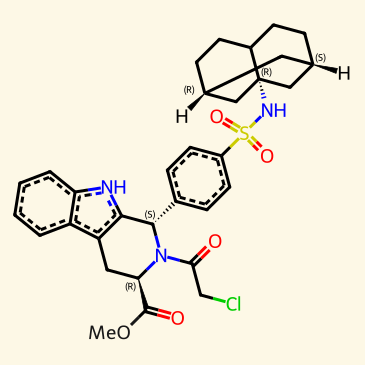 COC(=O)[C@H]1Cc2c([nH]c3ccccc23)[C@H](c2ccc(S(=O)(=O)N[C@]34C[C@@H]5CCC3CC[C@@H](C5)C4)cc2)N1C(=O)CCl